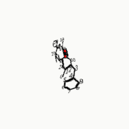 CC1=C(Cc2ccccc2)CC23CC=CN=C2N(C)C(=O)C=NC3=C1